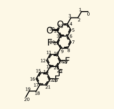 CCCCc1cc2ccc(-c3ccc(-c4ccc(CCC)cc4F)c(F)c3F)c(F)c2c(=O)o1